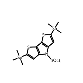 CCCCCCCCn1c2c[c]([Sn]([CH3])([CH3])[CH3])sc2c2s[c]([Sn]([CH3])([CH3])[CH3])cc21